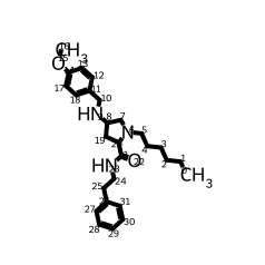 CCCCCCN1CC(NCc2ccc(OC)cc2)CC1C(=O)NCCc1ccccc1